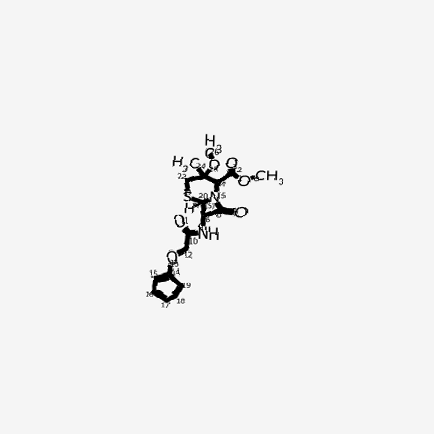 COC(=O)C1N2C(=O)C(NC(=O)COc3ccccc3)[C@@H]2SCC1(C)OC